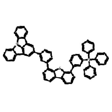 c1ccc([Si](c2ccccc2)(c2ccccc2)c2cccc(-c3cccc4c3sc3c(-c5cccc(-c6cc7c8ccccc8n8c9ccccc9c(c6)c78)c5)cccc34)c2)cc1